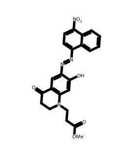 COC(=O)CCN1CCC(=O)c2cc(/N=N/c3ccc([N+](=O)[O-])c4ccccc34)c(O)cc21